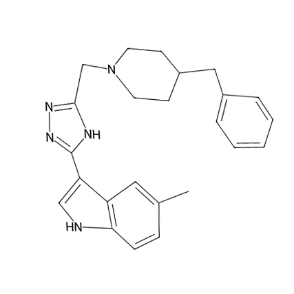 Cc1ccc2[nH]cc(-c3nnc(CN4CCC(Cc5ccccc5)CC4)[nH]3)c2c1